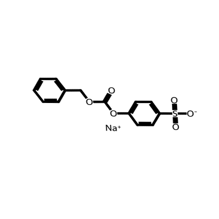 O=C(OCc1ccccc1)Oc1ccc(S(=O)(=O)[O-])cc1.[Na+]